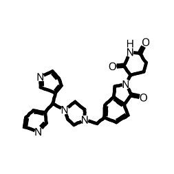 O=C1CCC(N2Cc3cc(CN4CCN(C(c5cccnc5)c5cccnc5)CC4)ccc3C2=O)C(=O)N1